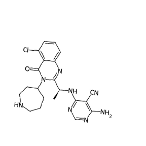 C[C@H](Nc1ncnc(N)c1C#N)c1nc2cccc(Cl)c2c(=O)n1C1CCCNCC1